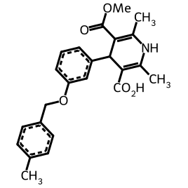 COC(=O)C1=C(C)NC(C)=C(C(=O)O)C1c1cccc(OCc2ccc(C)cc2)c1